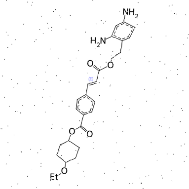 CCOC1CCC(OC(=O)c2ccc(/C=C/C(=O)OCCc3ccc(N)cc3N)cc2)CC1